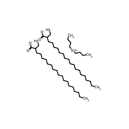 CCCCCCCCCCCCCCCCCCC(CS)C(=O)[O-].CCCCCCCCCCCCCCCCCCC(CS)C(=O)[O-].CCC[CH2][Sn+2][CH2]CCC